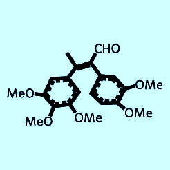 COc1ccc(C(C=O)=C(C)c2cc(OC)c(OC)c(OC)c2)cc1OC